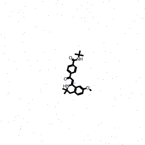 COc1ccc2c(c1)/C(=C/C(=O)c1ccc(C(=O)NC(C)(C)C)cc1)NC(C)(C)C2